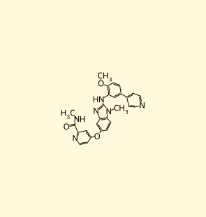 CNC(=O)c1cc(Oc2ccc3c(c2)nc(Nc2cc(-c4ccncc4)ccc2OC)n3C)ccn1